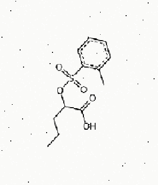 CCCC(OS(=O)(=O)c1ccccc1C)C(=O)O